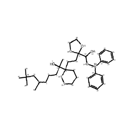 CC(CCCC(C)(O)C1(CCC2(C(O)O[SiH](c3ccccc3)c3ccccc3)OCCO2)CCCSS1)CC(C)(C)C